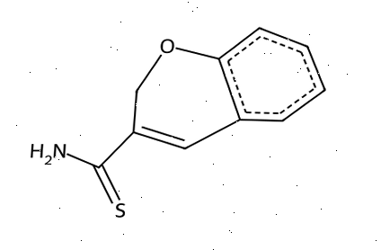 NC(=S)C1=Cc2ccccc2OC1